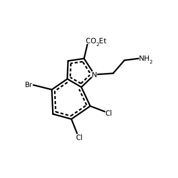 CCOC(=O)c1cc2c(Br)cc(Cl)c(Cl)c2n1CCN